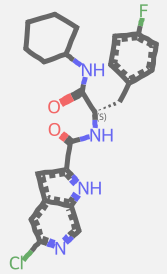 O=C(N[C@@H](Cc1ccc(F)cc1)C(=O)NC1CCCCC1)c1cc2cc(Cl)ncc2[nH]1